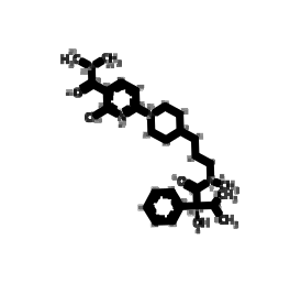 CC(C)[C@](O)(C(=O)N(C)CCCC1CCN(c2ccc(C(=O)N(C)C)c(Cl)n2)CC1)c1ccccc1